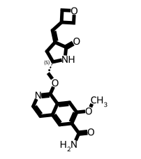 COc1cc2c(OC[C@@H]3CC(=CC4COC4)C(=O)N3)nccc2cc1C(N)=O